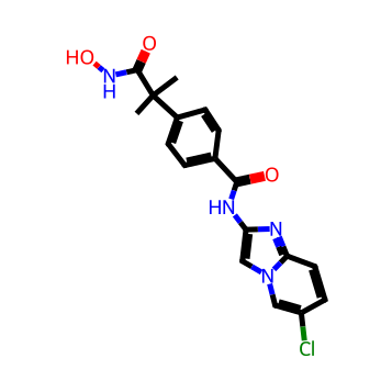 CC(C)(C(=O)NO)c1ccc(C(=O)Nc2cn3cc(Cl)ccc3n2)cc1